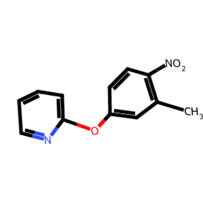 Cc1cc(Oc2ccccn2)ccc1[N+](=O)[O-]